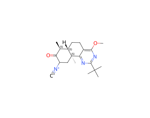 [C-]#[N+]C1C[C@]2(C)c3nc(C(C)(C)C)nc(OC)c3CC[C@H]2[C@H](C)C1=O